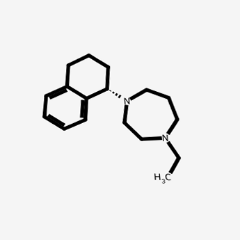 CCN1CCCN([C@H]2CCCc3ccccc32)CC1